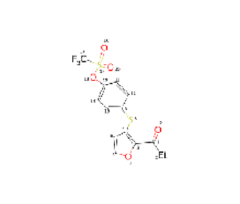 CCC(=O)c1occc1Sc1ccc(OS(=O)(=O)C(F)(F)F)cc1